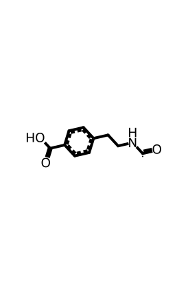 O=[C]NCCc1ccc(C(=O)O)cc1